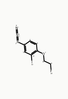 [N-]=[N+]=Nc1ccc(OCCF)c(I)c1